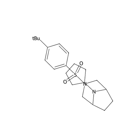 CC(C)(C)c1ccc(S(=O)(=O)N2CC3CCC(C2)N3C2CCCC2)cc1